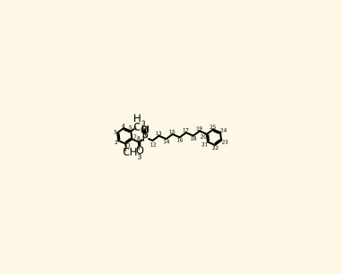 Cc1cccc(C)c1C(=O)[PH](=O)CCCCCCCCc1ccccc1